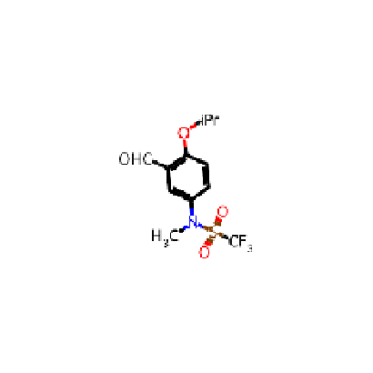 CC(C)Oc1ccc(N(C)S(=O)(=O)C(F)(F)F)cc1C=O